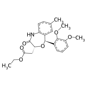 CCOC(=O)C[C@H]1O[C@H](c2cccc(OC)c2OC)c2cc(C)ccc2NC1=O